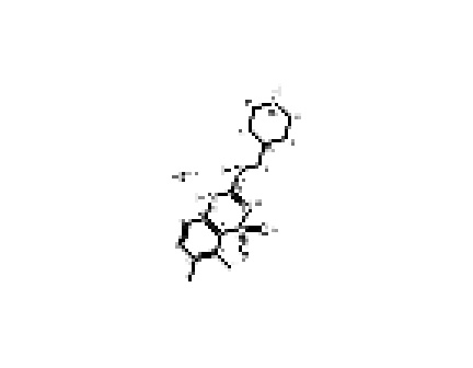 Cc1ccc2c(c1C)S(=O)(=O)N=C(NCC1CCNCC1)N2.Cl